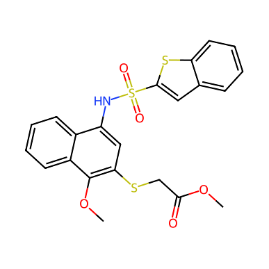 COC(=O)CSc1cc(NS(=O)(=O)c2cc3ccccc3s2)c2ccccc2c1OC